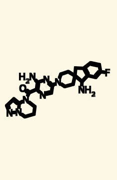 Nc1nc(N2CCC3(CC2)Cc2ccc(F)cc2C3N)cnc1C(=O)N1CCCn2nccc21